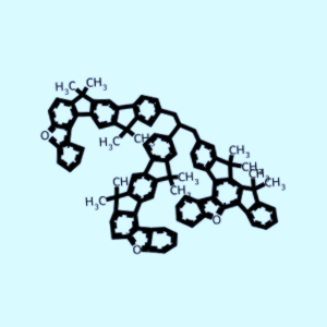 CC1(C)c2cc(CC(Cc3ccc4c(c3)C(C)(C)c3c5c(c6oc7ccccc7c6c3-4)-c3ccccc3C5(C)C)c3ccc4c(c3)C(C)(C)c3cc5c(cc3-4)C(C)(C)c3ccc4oc6ccccc6c4c3-5)ccc2-c2cc3c(cc21)-c1c(ccc2oc4ccccc4c12)C3(C)C